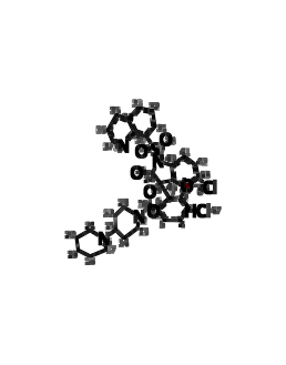 COc1ccccc1C1(OC(=O)N2CCC(N3CCCCC3)CC2)C(=O)N(S(=O)(=O)c2cccc3cccnc23)c2ccc(Cl)cc21.Cl